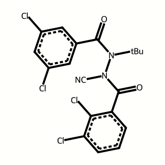 CC(C)(C)N(C(=O)c1cc(Cl)cc(Cl)c1)N(C#N)C(=O)c1cccc(Cl)c1Cl